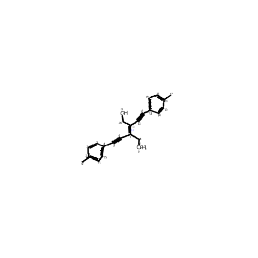 Cc1ccc(C#C/C(CO)=C(/C#Cc2ccc(C)cc2)CO)cc1